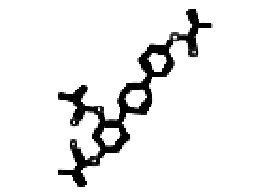 C=C(C)C(=O)OC1=C(c2ccc(-c3ccc(OC(=O)C(=C)C)cc3)cc2)C=CC(OC(=O)C(=C)C)C1